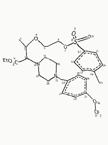 CCOC(=O)C(C(C)OCCOS(=O)(=O)c1ccc(C)cc1)N1CCN(c2ccc(OC(F)(F)F)cc2)CC1